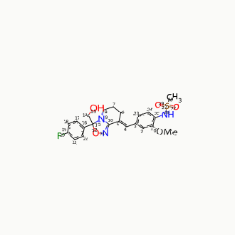 COc1cc(/C=C2\CCCN3C2=NOC3(CO)c2ccc(F)cc2)ccc1NS(C)(=O)=O